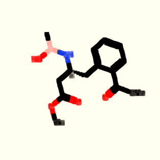 COC(=O)c1ccccc1C[C@H](CC(=O)OC(C)(C)C)NB(C)O